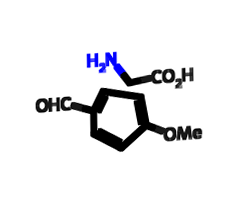 COc1ccc(C=O)cc1.NCC(=O)O